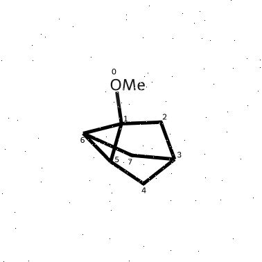 COC12CC3CC1C2C3